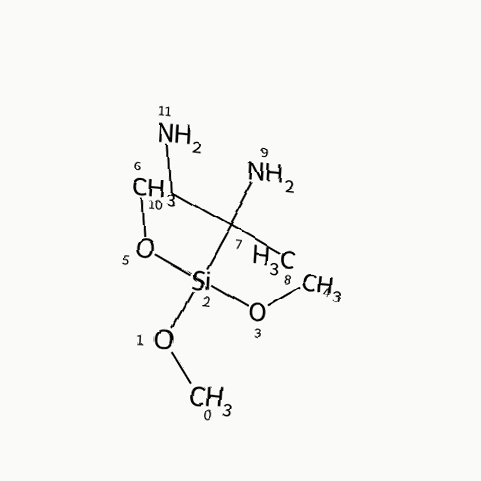 CO[Si](OC)(OC)C(C)(N)CN